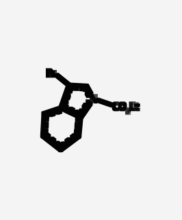 CCOC(=O)n1cc(Br)c2ccccc21